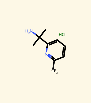 CC(C)(N)c1cccc(C(F)(F)F)n1.Cl